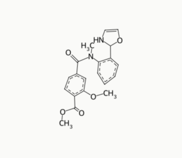 COC(=O)c1ccc(C(=O)N(C)c2ccccc2C2NC=CO2)cc1OC